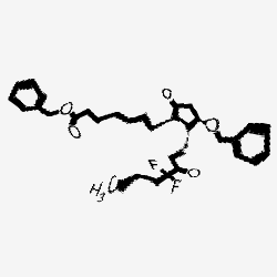 CCCCC(F)(F)C(=O)CC[C@H]1[C@H](OCc2ccccc2)CC(=O)[C@@H]1CC=CCCCC(=O)OCc1ccccc1